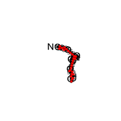 C=CC(=O)OC1CCC(c2ccc(OCCCCCCOC(=O)C(CC)CC(C)C(=O)OCCCCCCOc3ccc(-c4ccc(C#N)cc4)cc3)cc2)CC1